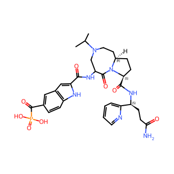 CC(C)N1CC[C@H]2CC[C@@H](C(=O)N[C@@H](CCC(N)=O)c3ccccn3)N2C(=O)C(NC(=O)c2cc3cc(C(=O)P(=O)(O)O)ccc3[nH]2)C1